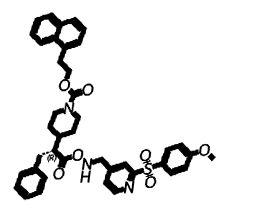 COc1ccc(S(=O)(=O)c2cc(CNOC(=O)[C@H](Cc3ccccc3)C3CCN(C(=O)OCCc4cccc5ccccc45)CC3)ccn2)cc1